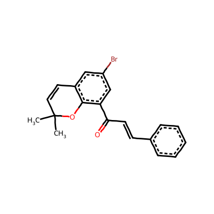 CC1(C)C=Cc2cc(Br)cc(C(=O)C=Cc3ccccc3)c2O1